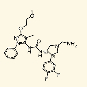 COCCOc1nn(-c2ccccc2)c(NC(=O)N[C@@H]2CN(CN)C[C@H]2c2ccc(F)c(F)c2)c1C